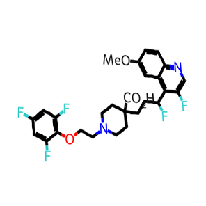 COc1ccc2ncc(F)c(C(F)CCC3(C(=O)O)CCN(CCOc4c(F)cc(F)cc4F)CC3)c2c1